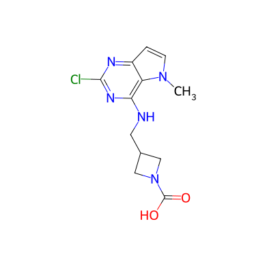 Cn1ccc2nc(Cl)nc(NCC3CN(C(=O)O)C3)c21